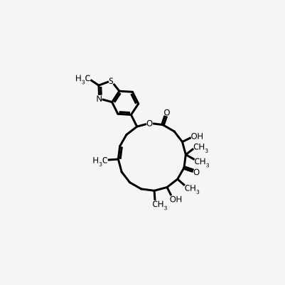 C/C1=C/CC(c2ccc3sc(C)nc3c2)OC(=O)CC(O)C(C)(C)C(=O)C(C)C(O)C(C)CCC1